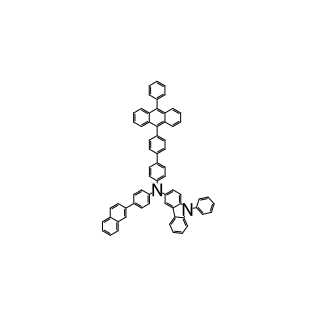 c1ccc(-c2c3ccccc3c(-c3ccc(-c4ccc(N(c5ccc(-c6ccc7ccccc7c6)cc5)c5ccc6c(c5)c5ccccc5n6-c5ccccc5)cc4)cc3)c3ccccc23)cc1